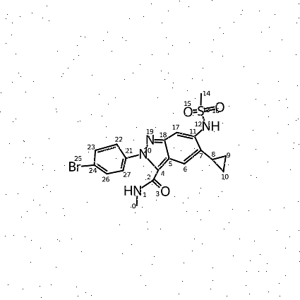 CNC(=O)c1c2cc(C3CC3)c(NS(C)(=O)=O)cc2nn1-c1ccc(Br)cc1